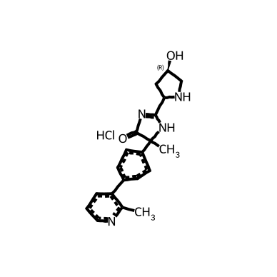 Cc1ncccc1-c1ccc(C2(C)NC(C3C[C@@H](O)CN3)=NC2=O)cc1.Cl